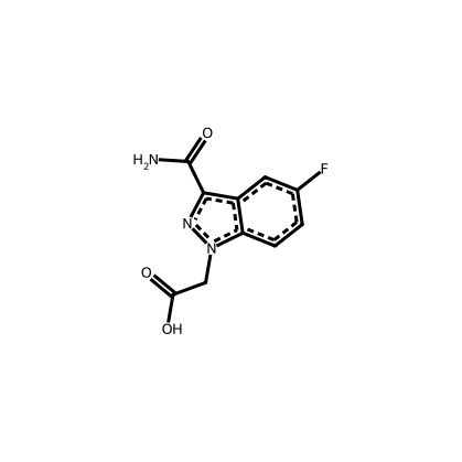 NC(=O)c1nn(CC(=O)O)c2ccc(F)cc12